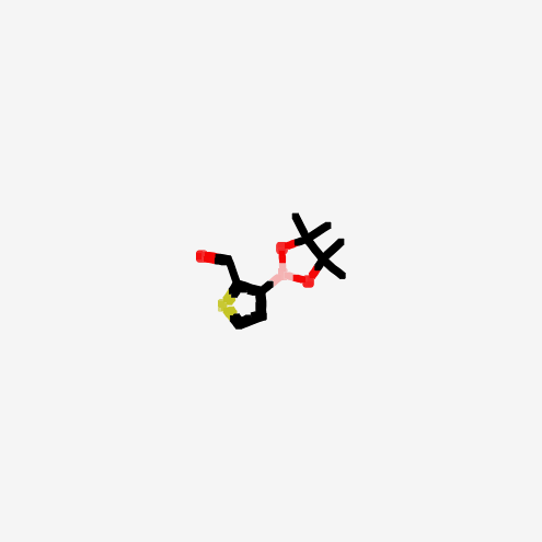 CC1(C)OB(c2ccsc2C=O)OC1(C)C